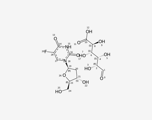 O=C[C@H](O)[C@@H](O)[C@H](O)[C@H](O)C(=O)O.O=c1[nH]c(=O)n([C@H]2C[C@H](O)[C@@H](CO)O2)cc1F